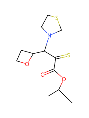 CC(C)OC(=O)C(=S)C(C1CCO1)N1CCSC1